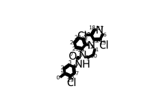 Cc1ccc(NC(=O)N2CCCN(c3c(Cl)cncc3Cl)c3ccccc32)cc1Cl